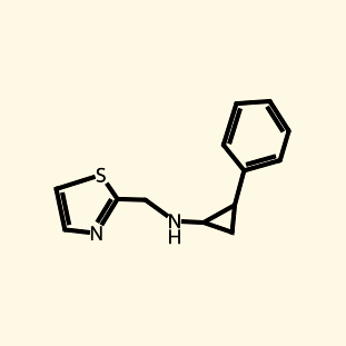 c1ccc(C2CC2NCc2nccs2)cc1